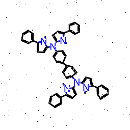 Cn1c(-c2ccccc2)ccc1N(c1ccc(-c2ccc(N(c3ccc(-c4ccccc4)n3C)c3ccc(-c4ccccc4)n3C)cc2)cc1)c1ccc(-c2ccccc2)n1C